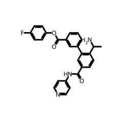 CC(N)c1ccc(C(=O)Nc2ccncc2)cc1-c1cccc(C(=O)Oc2ccc(F)cc2)c1